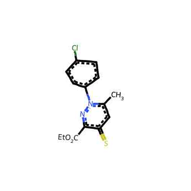 CCOC(=O)c1nn(-c2ccc(Cl)cc2)c(C)cc1=S